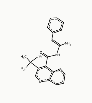 CCCC(C)(C)c1cnc2ccccc2c1C(=O)NC(N)=Nc1ccccc1